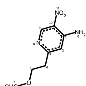 Nc1cc(CCOC=O)ncc1[N+](=O)[O-]